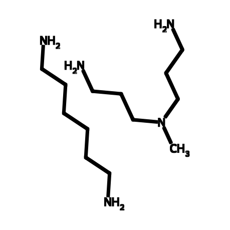 CN(CCCN)CCCN.NCCCCCCN